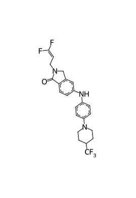 O=C1c2ccc(Nc3ccc(N4CCC(C(F)(F)F)CC4)cc3)cc2CN1CC=C(F)F